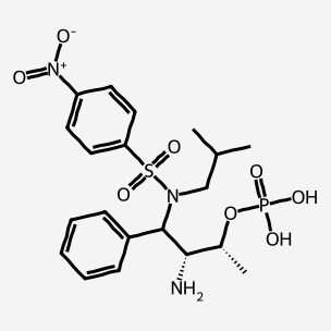 CC(C)CN(C(c1ccccc1)[C@@H](N)[C@@H](C)OP(=O)(O)O)S(=O)(=O)c1ccc([N+](=O)[O-])cc1